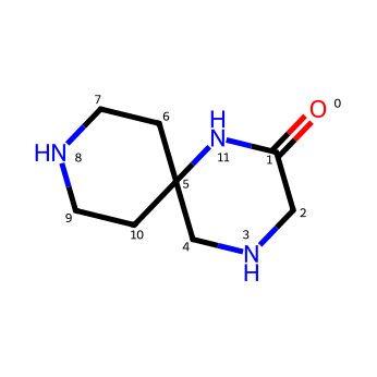 O=C1CNCC2(CCNCC2)N1